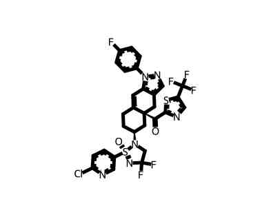 O=C(c1ncc(C(F)(F)F)s1)[C@]12Cc3cnn(-c4ccc(F)cc4)c3C=C1CC[C@H](N1CC(F)(F)N=S1(=O)c1ccc(Cl)nc1)C2